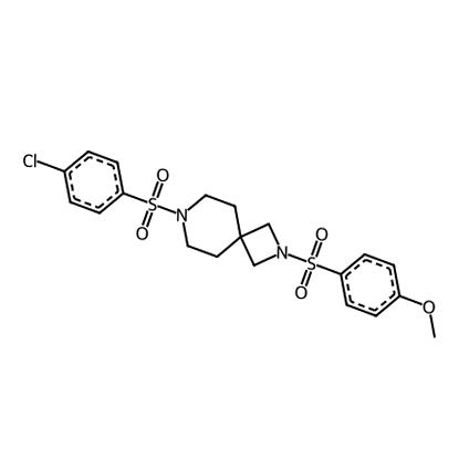 COc1ccc(S(=O)(=O)N2CC3(CCN(S(=O)(=O)c4ccc(Cl)cc4)CC3)C2)cc1